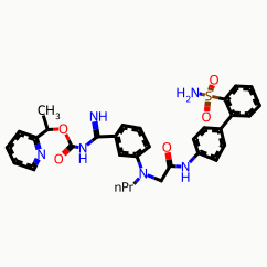 CCCN(CC(=O)Nc1ccc(-c2ccccc2S(N)(=O)=O)cc1)c1cccc(C(=N)NC(=O)OC(C)c2ccccn2)c1